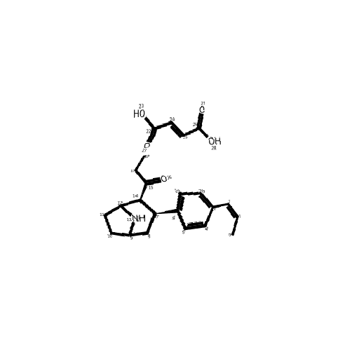 C/C=C\c1ccc([C@H]2CC3CCC(N3)[C@H]2C(=O)CC)cc1.O=C(O)/C=C/C(=O)O